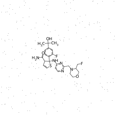 CC(C)(O)c1ccc(C2(Nc3ccnc(CN4CCOCC4CF)n3)SC=CC2C(N)=O)c(F)c1